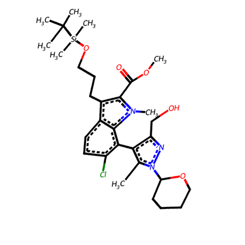 COC(=O)c1c(CCCO[Si](C)(C)C(C)(C)C)c2ccc(Cl)c(-c3c(CO)nn(C4CCCCO4)c3C)c2n1C